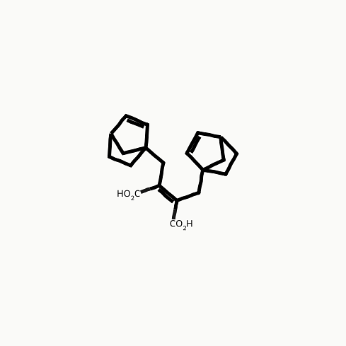 O=C(O)C(CC12C=CC(CC1)C2)=C(CC12C=CC(CC1)C2)C(=O)O